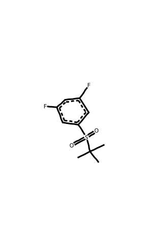 CC(C)(C)S(=O)(=O)c1cc(F)cc(F)c1